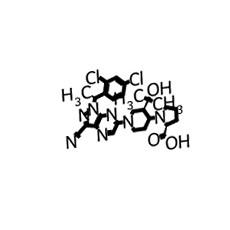 C[C@H](c1ccc(Cl)cc1Cl)n1nc(C#N)c2ncc(N3CCC(N4CCC[C@H]4C(=O)O)[C@H](C(C)(C)O)C3)nc21